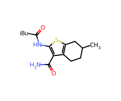 CCC(C)C(=O)Nc1sc2c(c1C(N)=O)CCC(C)C2